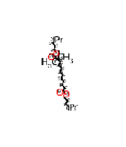 CC(C)CCCOC(=O)CCCCCCCCCC(C)(C)C(=O)OCCCC(C)C